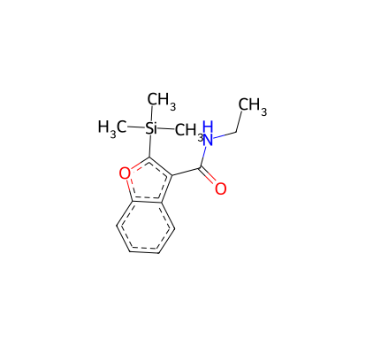 CCNC(=O)c1c([Si](C)(C)C)oc2ccccc12